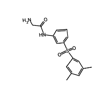 Cc1cc(C)cc(S(=O)(=O)c2cccc(NC(=O)CN)c2)c1